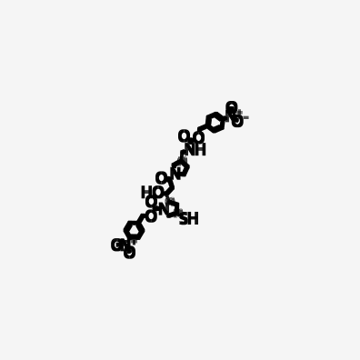 O=C(NC[C@H]1CCN(C(=O)CC(O)[C@@H]2C[C@H](S)CN2C(=O)OCc2ccc([N+](=O)[O-])cc2)C1)OCc1ccc([N+](=O)[O-])cc1